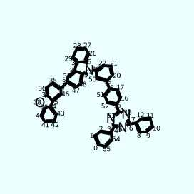 c1ccc(-c2nc(-c3ccccc3)nc(-c3ccc(-c4cccc(-n5c6ccccc6c6cc(-c7ccc8oc9ccccc9c8c7)ccc65)c4)cc3)n2)cc1